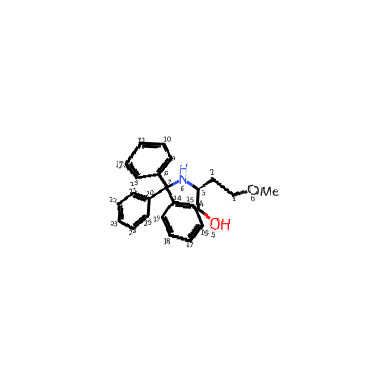 COCC[C@@H](CO)NC(c1ccccc1)(c1ccccc1)c1ccccc1